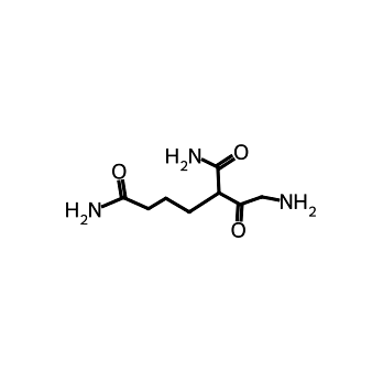 NCC(=O)C(CCCC(N)=O)C(N)=O